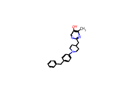 Cc1nc(CC2CCN(c3ccc(Cc4ccccc4)cc3)CC2)n[c]c1O